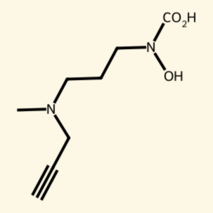 C#CCN(C)CCCN(O)C(=O)O